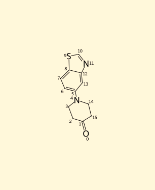 O=C1CCN(c2ccc3scnc3c2)CC1